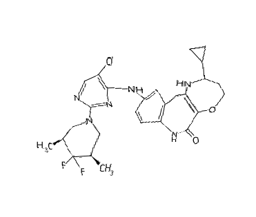 C[C@@H]1CN(c2ncc(Cl)c(Nc3ccc4[nH]c(=O)c5c(c4c3)NC(C3CC3)CCO5)n2)C[C@H](C)C1(F)F